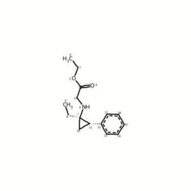 CCOC(=O)CN[C@]1(CC)C[C@H]1c1ccccc1